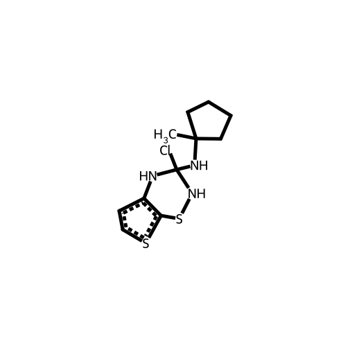 CC1(NC2(Cl)NSc3sccc3N2)CCCC1